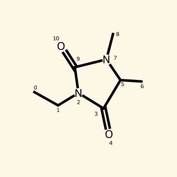 CCN1C(=O)C(C)N(C)C1=O